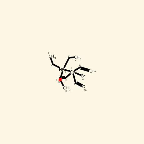 CC[PH](CC)(CC)[Co]([Br])([CH]=O)([CH]=O)[CH]=O